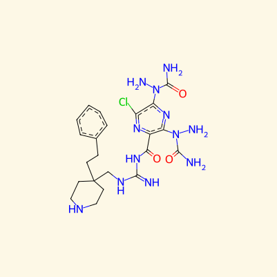 N=C(NCC1(CCc2ccccc2)CCNCC1)NC(=O)c1nc(Cl)c(N(N)C(N)=O)nc1N(N)C(N)=O